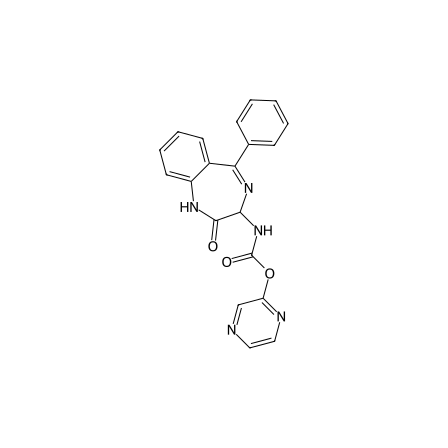 O=C(NC1N=C(c2ccccc2)c2ccccc2NC1=O)Oc1cnccn1